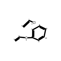 C=CCl.C=COc1ccccc1